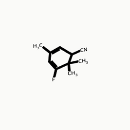 CC1=CC(C#N)C(C)(C)C(F)=C1